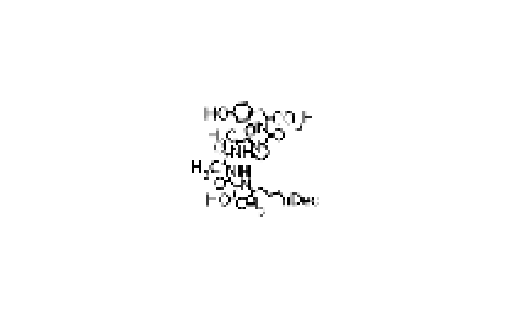 CCCCCCCCCCCCCC(=O)N[C@H](C(=O)NC(C)C(=O)NC(C)C(=O)N1CCCC1C(=O)NC(Cc1ccc(O)cc1)C(=O)O)[C@@H](C)O